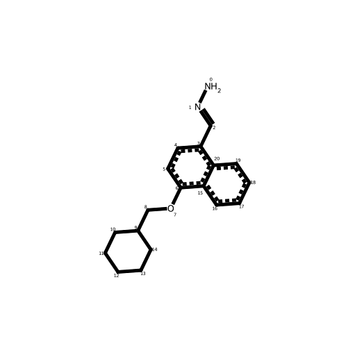 NN=Cc1ccc(OCC2CCCCC2)c2ccccc12